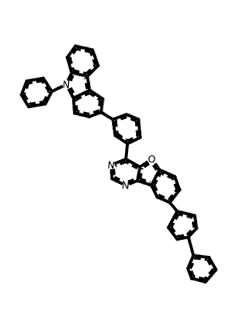 c1ccc(-c2ccc(-c3ccc4oc5c(-c6cccc(-c7ccc8c(c7)c7ccccc7n8-c7ccccc7)c6)ncnc5c4c3)cc2)cc1